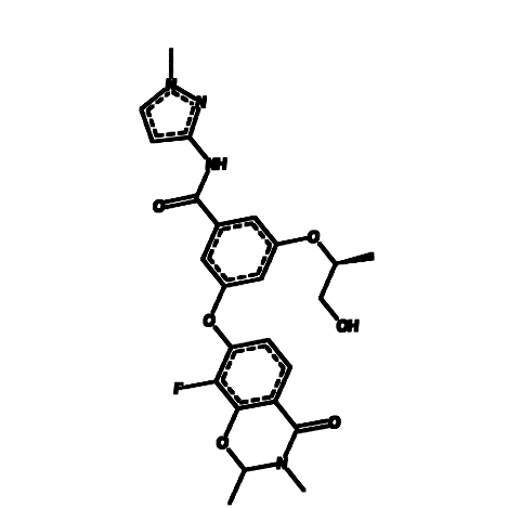 CC1Oc2c(ccc(Oc3cc(O[C@@H](C)CO)cc(C(=O)Nc4ccn(C)n4)c3)c2F)C(=O)N1C